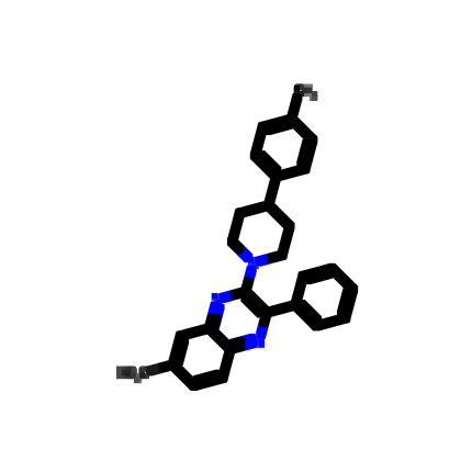 Cc1ccc(C2CCN(c3nc4cc(C(=O)O)ccc4nc3-c3ccccc3)CC2)cc1